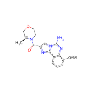 COc1cccc2c1nc(N)n1cc(C(=O)N3CCOC[C@@H]3C)nc21